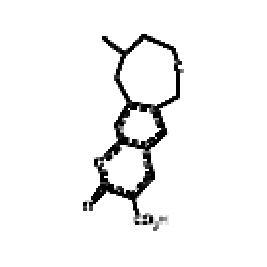 CC1CCCCc2cc3cc(C(=O)O)c(=O)oc3cc2C1